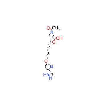 CC(=O)N1CC(CCCCCCCCOc2ccc(-c3ccn[nH]3)nc2)(C(=O)O)C1